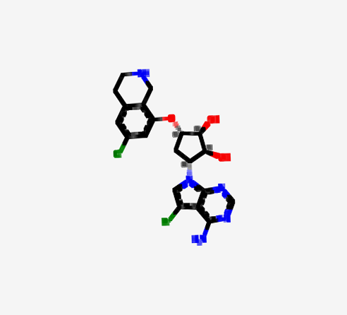 Nc1ncnc2c1c(Br)cn2[C@@H]1C[C@H](Oc2cc(Cl)cc3c2CNCC3)[C@@H](O)[C@H]1O